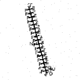 O=S(=O)([O-])C(F)(F)C(F)(F)C(F)(F)C(F)(F)C(F)(F)C(F)(F)C(F)(F)C(F)(F)C(F)(F)C(F)(F)C(F)(F)C(F)(F)C(F)(F)C(F)(F)C(F)(F)C(F)(F)C(F)(F)C(F)(F)F.[Na+]